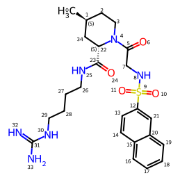 C[C@H]1CCN(C(=O)CNS(=O)(=O)c2ccc3ccccc3c2)[C@H](C(=O)NCCCCNC(=N)N)C1